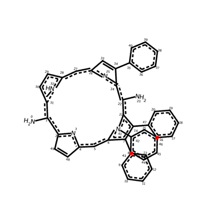 Nc1c2nc(cc3c(-c4ccccc4)c(-c4ccccc4)c(c(N)c4nc(cc5ccc1[nH]5)C=C4c1ccccc1)n3-c1ccccc1)C=C2